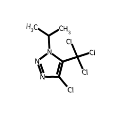 CC(C)n1nnc(Cl)c1C(Cl)(Cl)Cl